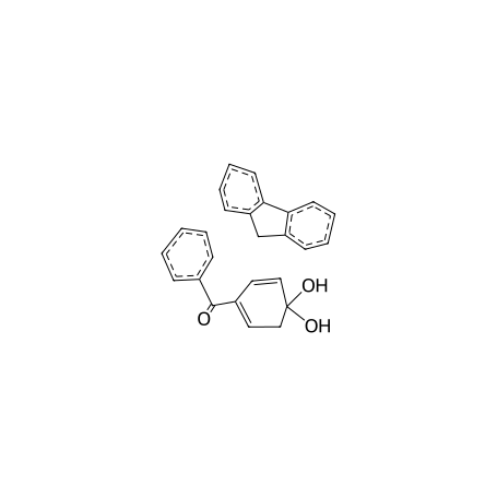 O=C(C1=CCC(O)(O)C=C1)c1ccccc1.c1ccc2c(c1)Cc1ccccc1-2